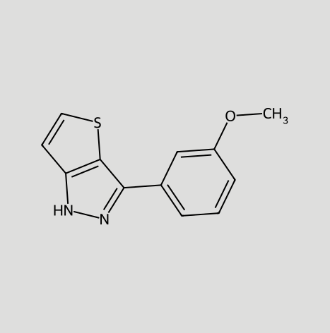 COc1cccc(-c2n[nH]c3ccsc23)c1